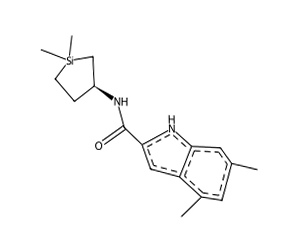 Cc1cc(C)c2cc(C(=O)N[C@H]3CC[Si](C)(C)C3)[nH]c2c1